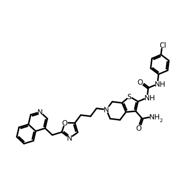 NC(=O)c1c(NC(=O)Nc2ccc(Cl)cc2)sc2c1CCN(CCCc1cnc(Cc3cncc4ccccc34)o1)C2